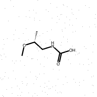 CO[C@H](C)CNC(=O)O